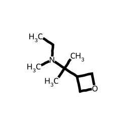 CCN(C)C(C)(C)C1COC1